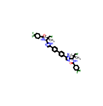 CC(C)(CF)[C@H](NC(=O)C1CCC(F)(F)CC1)c1ncc(-c2ccc(-c3ccc(-c4cnc([C@@H](NC(=O)C5CCC(F)(F)CC5)C(C)(C)CF)[nH]4)cc3)cc2)[nH]1